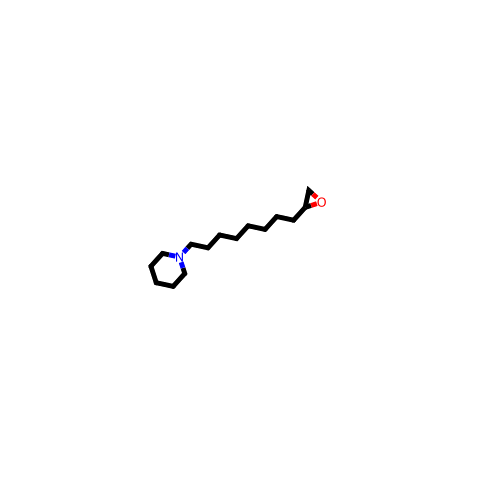 C(CCCCN1CCCCC1)CCCC1CO1